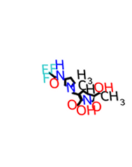 C[C@@H](O)[C@H]1C(=O)N2C(C(=O)O)=C(CN3CC[C@H](NC(=O)C(F)(F)F)C3)[C@H](C)[C@H]12